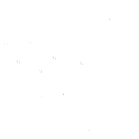 CCN(CC)CCCN(Cc1ccc(Cl)cc1)C(=O)c1[nH]cnc1CN1CCC(c2ccccc2)(c2ccccc2)CC1